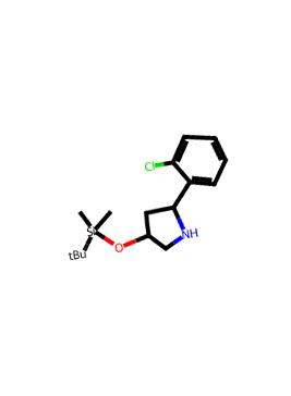 CC(C)(C)[Si](C)(C)OC1CNC(c2ccccc2Cl)C1